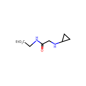 CCOC(=O)CNC(=O)CNC1CC1